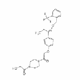 CC/C(=N\OCc1ccccc1C(F)(F)F)c1ccc(OCC(=O)N2CCN(C(=O)CO)CC2)cc1